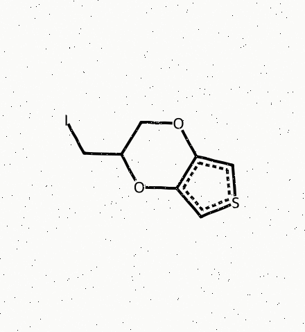 ICC1COc2cscc2O1